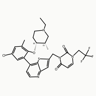 CCN1CC[C@@H](Oc2c(C)cc(Cl)cc2-c2ccnc3cc(Cn4c(=O)ccn(CC(F)(F)F)c4=O)sc23)[C@@H](C)C1